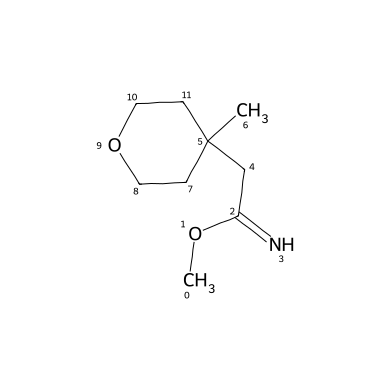 COC(=N)CC1(C)CCOCC1